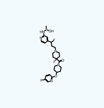 CB(O)Nc1cc(C(F)CCN2CCC(F)(C(=O)N3CCC(Oc4ccc(F)cn4)CC3)CC2)ccn1